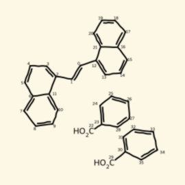 C(=Cc1cccc2ccccc12)c1cccc2ccccc12.O=C(O)c1ccccc1.O=C(O)c1ccccc1